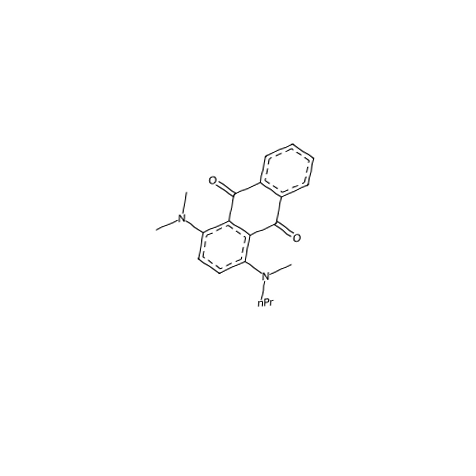 CCCN(C)c1ccc(N(C)C)c2c1C(=O)c1ccccc1C2=O